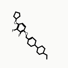 CCC1CCC(C2CC=C(COc3ccc(OC4CCCC4)c(F)c3F)CC2)CC1